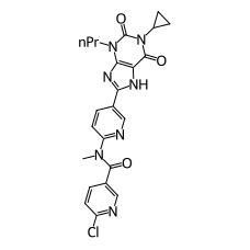 CCCn1c(=O)n(C2CC2)c(=O)c2[nH]c(-c3ccc(N(C)C(=O)c4ccc(Cl)nc4)nc3)nc21